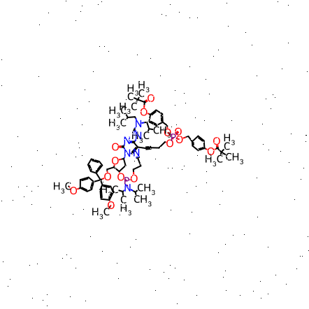 COc1ccc(C(OCC2OC(n3cc(C#CCCOP(=O)(OCc4ccc(OC(=O)C(C)(C)C)cc4)OCc4ccc(OC(=O)C(C)(C)C)cc4)c(/N=C/N(CC(C)C)CC(C)C)nc3=O)CC2OP(OCCC#N)N(C(C)C)C(C)C)(c2ccccc2)c2ccc(OC)cc2)cc1